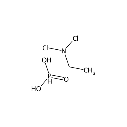 CCN(Cl)Cl.O=[PH](O)O